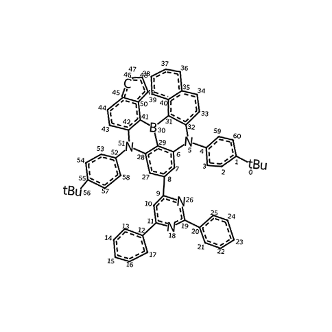 CC(C)(C)c1ccc(N2c3cc(-c4cc(-c5ccccc5)nc(-c5ccccc5)n4)cc4c3B(c3c2ccc2ccccc32)c2c(ccc3ccccc23)N4c2ccc(C(C)(C)C)cc2)cc1